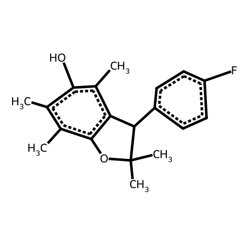 Cc1c(C)c2c(c(C)c1O)C(c1ccc(F)cc1)C(C)(C)O2